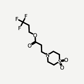 O=C(CCN1CCS(=O)(=O)CC1)OCCC(F)(F)F